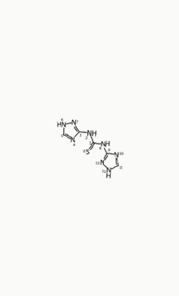 S=C(Nc1nc[nH]n1)Nc1nc[nH]n1